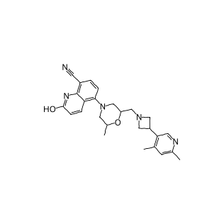 Cc1cc(C)c(C2CN(CC3CN(c4ccc(C#N)c5nc(O)ccc45)CC(C)O3)C2)cn1